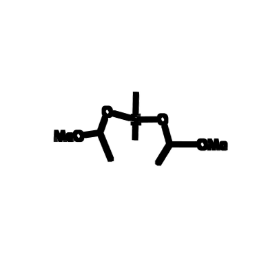 COC(C)O[Si](C)(C)OC(C)OC